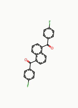 O=C(c1ccc(F)cc1)c1cccc2c(C(=O)c3ccc(F)cc3)cccc12